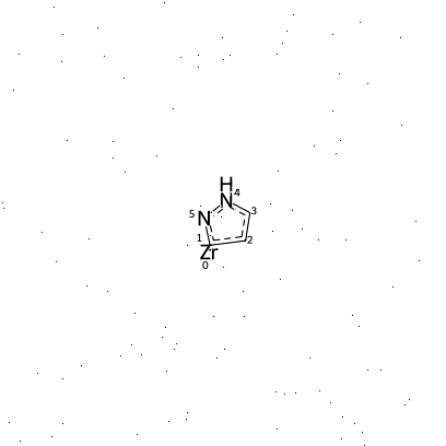 [Zr].[c]1cc[nH]n1